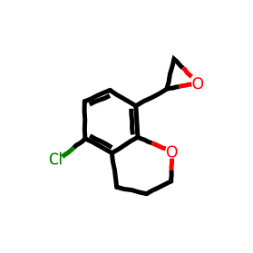 Clc1ccc(C2CO2)c2c1CCCO2